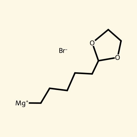 [Br-].[Mg+][CH2]CCCCC1OCCO1